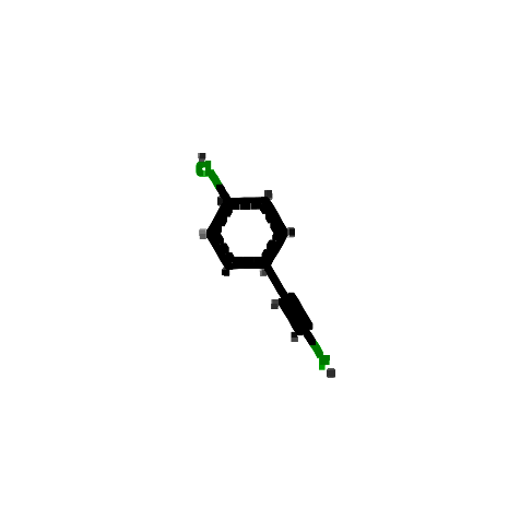 FC#Cc1ccc(Cl)cc1